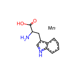 NC(Cc1c[nH]c2ccccc12)C(=O)O.[Mn]